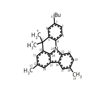 CCC(C)c1ccc2c(c1)C(C)(C)c1cc(C)cc3c4cc(C)ccc4n-2c13